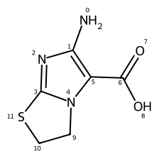 Nc1nc2n(c1C(=O)O)CCS2